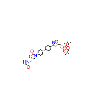 CC(=O)NC[C@H]1CN(c2ccc(-c3ccc(C4=NOC(COP(=O)(OC(C)(C)C)OC(C)(C)C)C4)cc3)cc2)C(=O)O1